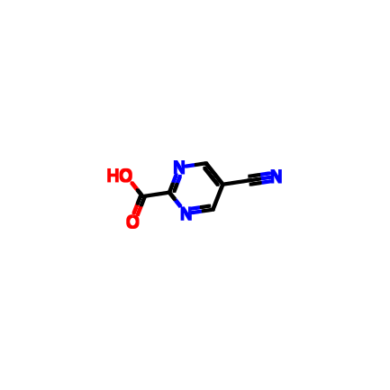 N#Cc1cnc(C(=O)O)nc1